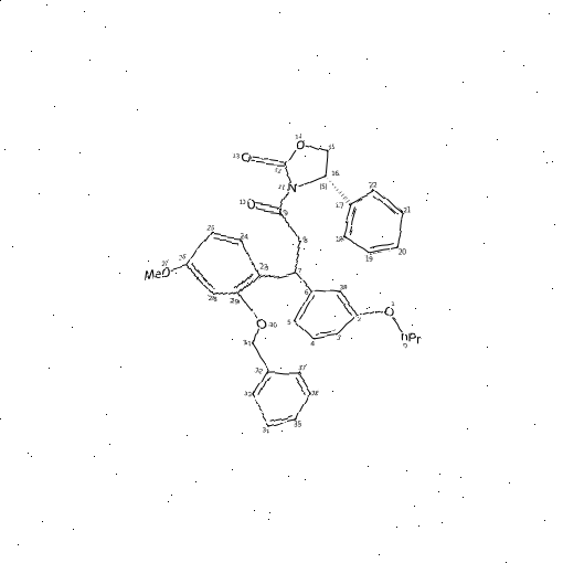 CCCOc1cccc(C(CC(=O)N2C(=O)OC[C@@H]2c2ccccc2)c2ccc(OC)cc2OCc2ccccc2)c1